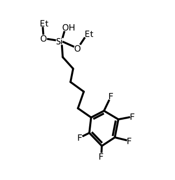 CCO[Si](O)(CCCCCc1c(F)c(F)c(F)c(F)c1F)OCC